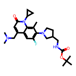 Cc1c(N2CCC(CNC(=O)OC(C)(C)C)C2)c(F)cc2c(CN(C)C)cc(=O)n(C3CC3)c12